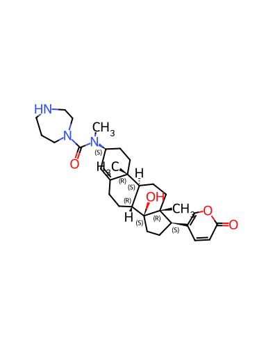 CN(C(=O)N1CCCNCC1)[C@@H]1C=C2CC[C@@H]3[C@H](CC[C@]4(C)[C@@H](c5ccc(=O)oc5)CC[C@]34O)[C@@]2(C)CC1